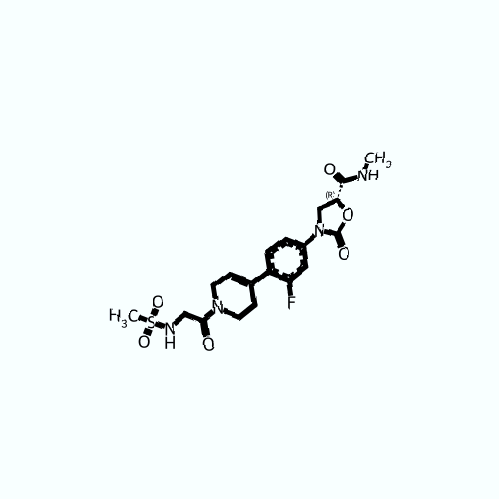 CNC(=O)[C@H]1CN(c2ccc(C3=CCN(C(=O)CNS(C)(=O)=O)CC3)c(F)c2)C(=O)O1